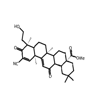 COC(=O)[C@@]12CCC3C(C(=O)C=C4[C@@]5(C)C=C(C#N)C(=O)[C@@](C)(CCO)C5CC[C@]43C)C1CC(C)(C)CC2